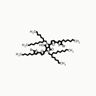 CCCCCCCCC(CCCCCC)CN1C(=O)C2=C(c3ccc(-c4cc(CCCCCC)c(Br)s4)o3)N(CC(CCCCCC)CCCCCCCC)C(O)C2=C1c1ccc(-c2cc(CCCCCC)c(Br)s2)o1